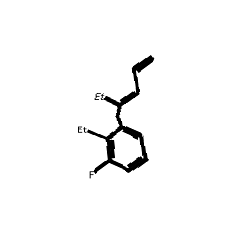 C=C/C=C(\CC)c1cccc(F)c1CC